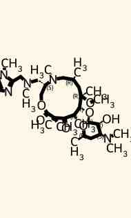 CO[C@]1(C)C[C@@H](C)CN(C)[C@@H](CN(C)Cc2nccn2C)COC(=O)C(C)(C)C(=O)[C@H](C)[C@H]1O[C@@H]1O[C@H](C)C[C@H](N(C)C)[C@H]1O